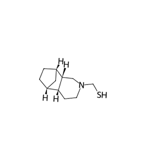 SCN1CC[C@@H]2[C@@H]3CC[C@@H](C3)[C@@H]2C1